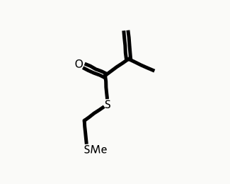 C=C(C)C(=O)SCSC